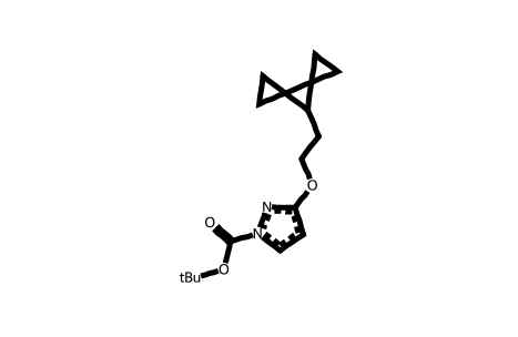 CC(C)(C)OC(=O)n1ccc(OCCC2C3(CC3)C23CC3)n1